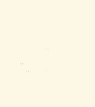 COc1cc(C(=O)CNC(=O)CCCc2ccccc2)cc(OC)c1OC